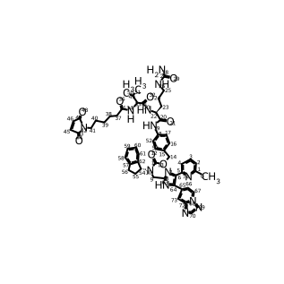 Cc1cccc(-c2nc(CN(C(=O)OCc3ccc(NC(=O)[C@H](CCCNC(N)=O)NC(=O)C(NC(=O)CCCCCN4C(=O)C=CC4=O)C(C)C)cc3)[C@@H]3CCc4ccccc43)[nH]c2-c2ccn3ncnc3c2)n1